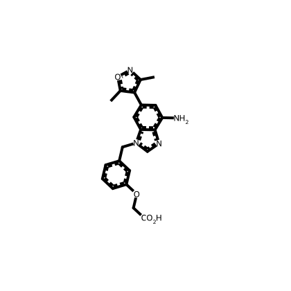 Cc1noc(C)c1-c1cc(N)c2ncn(Cc3cccc(OCC(=O)O)c3)c2c1